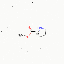 O=C(O[SiH3])[C@@H]1CCCN1